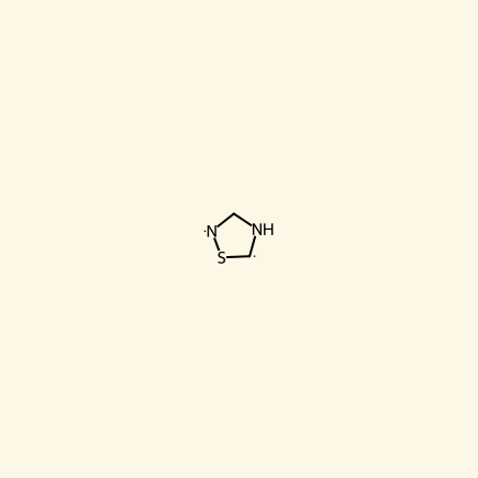 [CH]1NC[N]S1